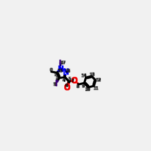 Cc1c(I)c(C(=O)OCc2ccccc2)nn1I